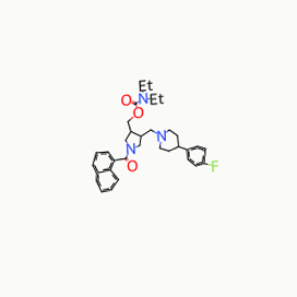 CCN(CC)C(=O)OCC1CN(C(=O)c2cccc3ccccc23)CC1CN1CCC(c2ccc(F)cc2)CC1